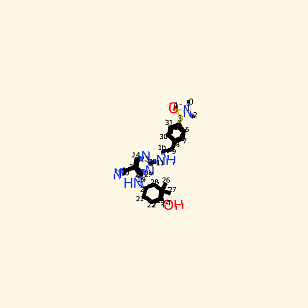 CN(C)[S+]([O-])c1ccc(CCNc2ncc(C#N)c(N[C@@H]3CC[C@H](O)C(C)(C)C3)n2)cc1